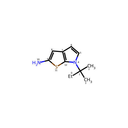 CCC(C)(C)n1ccc2cc(N)sc21